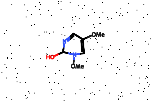 COC1=CN(OC)C(O)N=C1